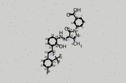 CC1=NN(c2cccc(C(=O)O)c2)C(=O)/C1=N\Nc1cccc(/C=C/c2ccc(F)cc2C(F)(F)F)c1O